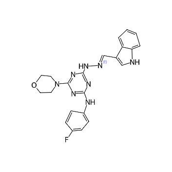 Fc1ccc(Nc2nc(N/N=C/c3c[nH]c4ccccc34)nc(N3CCOCC3)n2)cc1